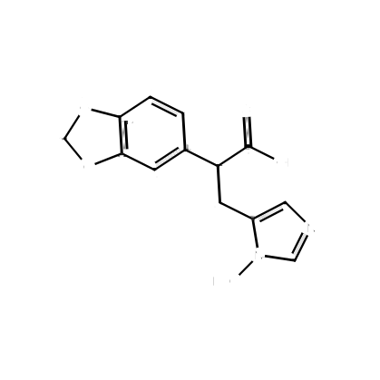 Cn1cncc1CC(C(=O)O)c1ccc2c(c1)OCO2